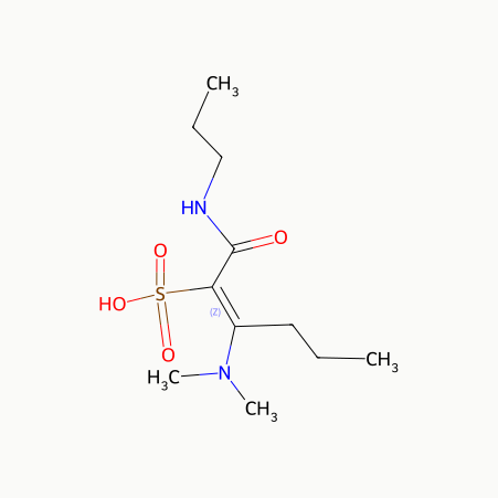 CCCNC(=O)/C(=C(\CCC)N(C)C)S(=O)(=O)O